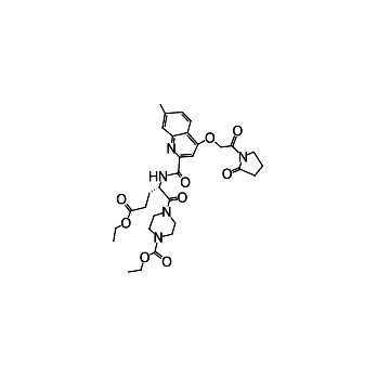 CCOC(=O)CC[C@H](NC(=O)c1cc(OCC(=O)N2CCCC2=O)c2ccc(C)cc2n1)C(=O)N1CCN(C(=O)OCC)CC1